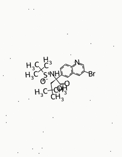 CC(C)(C)C[C@](N[S@@+]([O-])C(C)(C)C)(C(=O)O)c1ccc2ncc(Br)cc2c1